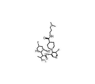 CC(N)C(C(=O)Nc1cncc(F)c1N1CCC(C(=O)NCCCN(C)C)CC1)C1NCC(F)CN1N=O